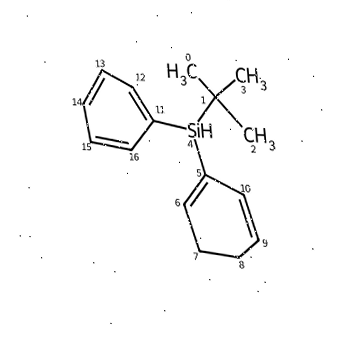 CC(C)(C)[SiH](C1=CCCC=C1)c1ccccc1